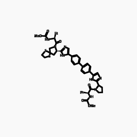 CC[C@H](NC(=O)OC)C(=O)N1CC2(C[C@H]1c1ncc(-c3ccc(-c4ccc(-c5cnc(C6CCCN6C(=O)[C@@H](NC(=O)OC)C(C)C)[nH]5)cc4)cc3)[nH]1)SCCS2